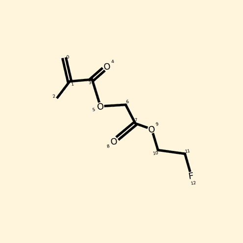 C=C(C)C(=O)OCC(=O)OCCF